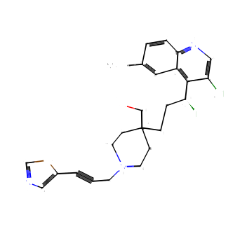 COc1ccc2ncc(Cl)c([C@@H](F)CCC3(CO)CCN(CC#Cc4cncs4)CC3)c2c1